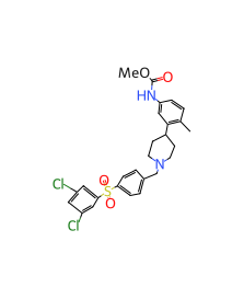 COC(=O)Nc1ccc(C)c(C2CCN(Cc3ccc(S(=O)(=O)c4cc(Cl)cc(Cl)c4)cc3)CC2)c1